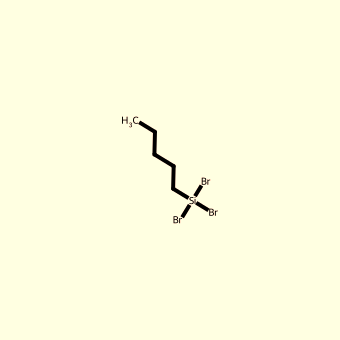 CCCCC[Si](Br)(Br)Br